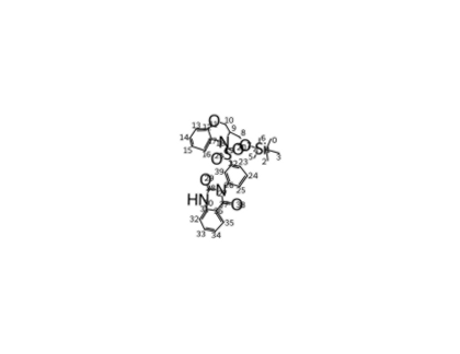 CC(C)(C)[Si](C)(C)OCC1COc2ccccc2N1S(=O)(=O)c1cccc(-n2c(=O)[nH]c3ccccc3c2=O)c1